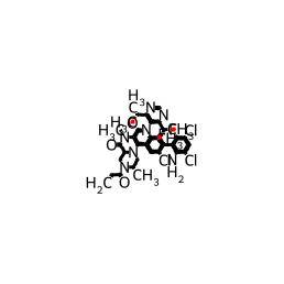 C=CC(=O)N1CC2C(=O)N(C)c3c(c4cc(Cl)c(-c5c(N)c(Cl)cc(Cl)c5F)c(F)c4n(-c4c(C(C)C)ncnc4C(C)C)c3=O)N2CC1C